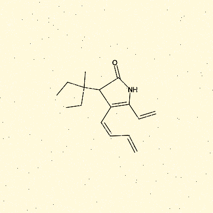 C=C/C=C\C1=C(C=C)NC(=O)C1C(C)(CC)CC